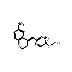 CC(C)(C)OC(=O)\C=N/C(=C\N)/C=C1\CCOc2ccc([N+](=O)[O-])cc21